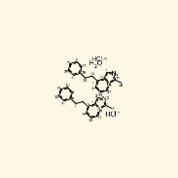 Cc1ncc2c(CCc3ccccc3)cccn12.Cc1ncc2c(CCc3ccccc3)cccn12.Cl.Cl.O